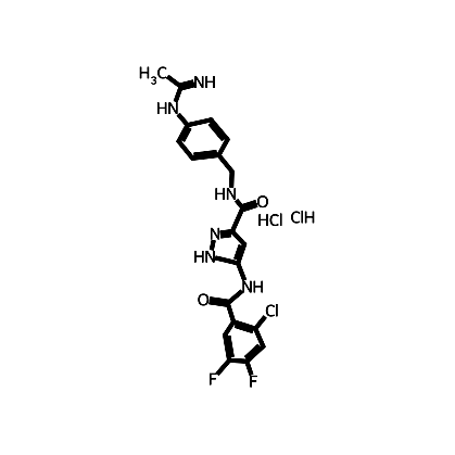 CC(=N)Nc1ccc(CNC(=O)c2cc(NC(=O)c3cc(F)c(F)cc3Cl)[nH]n2)cc1.Cl.Cl